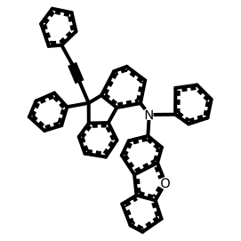 C(#CC1(c2ccccc2)c2ccccc2-c2c(N(c3ccccc3)c3ccc4c(c3)oc3ccccc34)cccc21)c1ccccc1